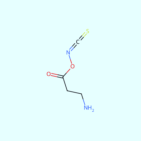 NCCC(=O)ON=C=S